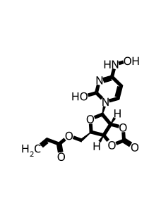 C=CC(=O)OC[C@H]1O[C@@H](N2C=CC(NO)=NC2O)[C@@H]2OC(=O)O[C@@H]21